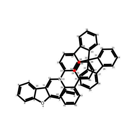 C=C/C=c1/oc2ccccc2/c1=C/N(c1ccc2c(c1)C1(c3ccccc3-c3ccccc31)c1ccccc1-2)c1ccccc1-c1ccccc1